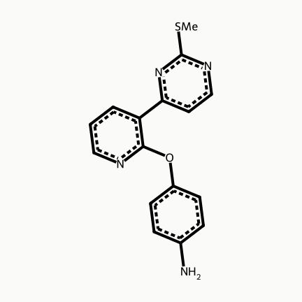 CSc1nccc(-c2cccnc2Oc2ccc(N)cc2)n1